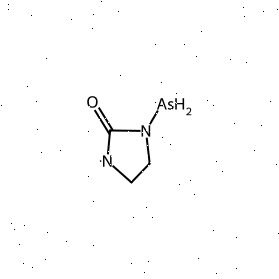 O=C1[N]CCN1[AsH2]